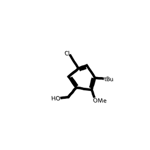 COc1c(CO)cc(Cl)cc1C(C)(C)C